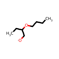 CCCCOC(CC)C[O]